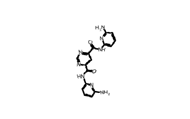 Nc1cccc(NC(=O)c2cc(C(=O)Nc3cccc(N)n3)ncn2)n1